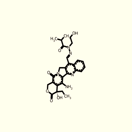 CC[C@@]1(O)C(=O)OCc2c1c(N)c1n(c2=O)Cc2c-1nc1ccccc1c2/C=N/N(CCO)C(=O)C(C)C